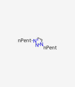 CCCCCn1cc[n+](CCCCC)n1